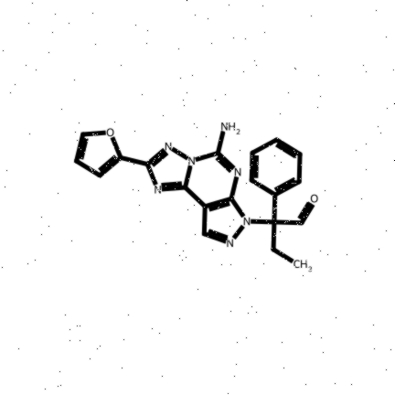 CCC(C=O)(c1ccccc1)n1ncc2c1nc(N)n1nc(-c3ccco3)nc21